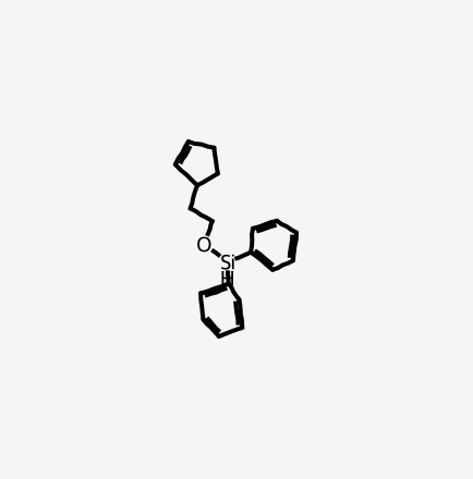 C1=CC(CCO[SiH](c2ccccc2)c2ccccc2)CC1